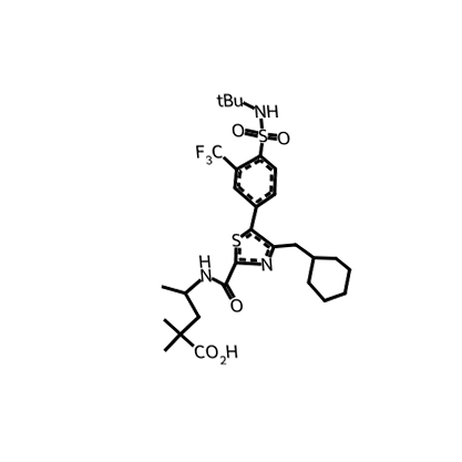 CC(CC(C)(C)C(=O)O)NC(=O)c1nc(CC2CCCCC2)c(-c2ccc(S(=O)(=O)NC(C)(C)C)c(C(F)(F)F)c2)s1